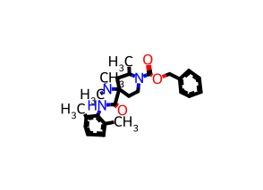 Cc1cccc(C)c1NC(=O)C1(N(C)C)CCN(C(=O)OCc2ccccc2)C(C)C1